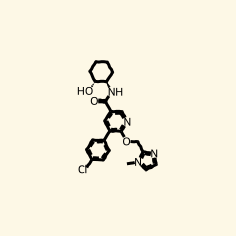 Cn1ccnc1COc1ncc(C(=O)N[C@@H]2CCCC[C@H]2O)cc1-c1ccc(Cl)cc1